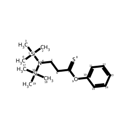 C[Si](C)(C)N(CCC(=S)Oc1ccccc1)[Si](C)(C)C